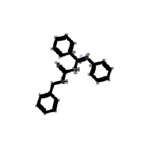 S=C(NCc1ccccc1)N/C(=N\c1ccccc1)c1ccccc1